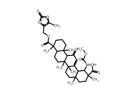 COC(=O)NC1C2C3=CC(=O)C4C5(C)CCCC(C)(C(=O)OCc6oc(=O)oc6C)C5CCC4(C)C3(C)CCC2(C)CCC1(C)C(=O)O